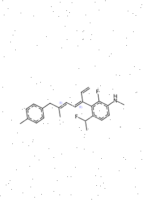 C=C/C(=C\C=C(/C)Cc1ccc(C)cc1)c1c(C(C)F)ccc(NC)c1F